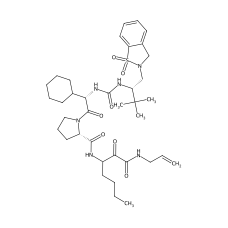 C=CCNC(=O)C(=O)C(CCCC)NC(=O)[C@@H]1CCCN1C(=O)[C@@H](NC(=O)N[C@H](CN1Cc2ccccc2S1(=O)=O)C(C)(C)C)C1CCCCC1